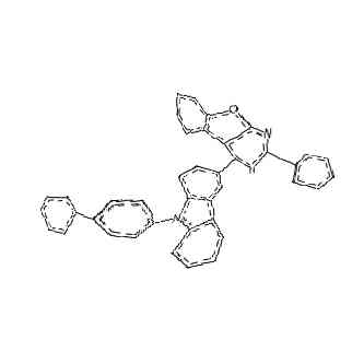 c1ccc(-c2ccc(-n3c4ccccc4c4cc(-c5nc(-c6ccccc6)nc6oc7ccccc7c56)ccc43)cc2)cc1